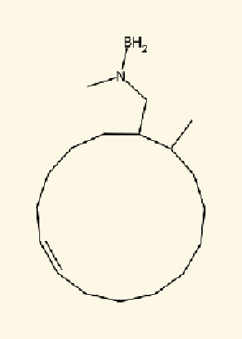 BN(C)CC1CCCC/C=C\CCCCCCCC1C